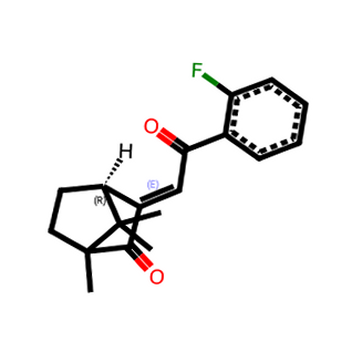 CC12CC[C@@H](/C(=C\C(=O)c3ccccc3F)C1=O)C2(C)C